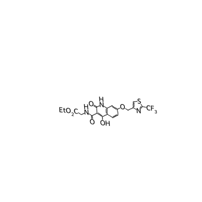 CCOC(=O)CNC(=O)c1c(O)c2ccc(OCc3csc(C(F)(F)F)n3)cc2[nH]c1=O